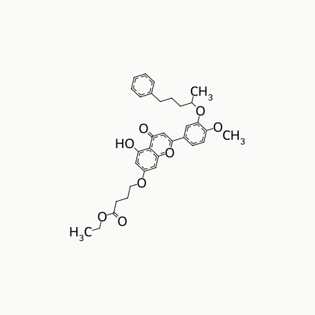 CCOC(=O)CCCOc1cc(O)c2c(=O)cc(-c3ccc(OC)c(OC(C)CCCc4ccccc4)c3)oc2c1